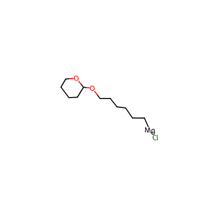 [Cl][Mg][CH2]CCCCCOC1CCCCO1